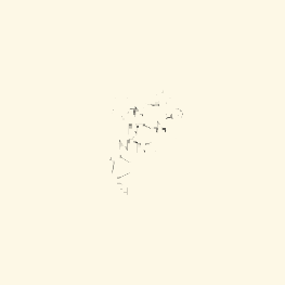 CCN(c1ccc(Br)cc1)c1ncc2c(n1)N(C1CCCC1)CC(C)(C)C(=O)N2C